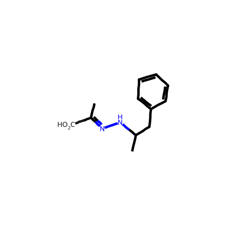 CC(=NNC(C)Cc1ccccc1)C(=O)O